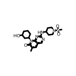 Cc1cc2cnc(NC3CCN(S(C)(=O)=O)CC3)nc2n(C2CCCC(O)C2)c1=O